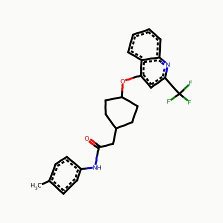 Cc1ccc(NC(=O)CC2CCC(Oc3cc(C(F)(F)F)nc4ccccc34)CC2)cc1